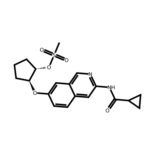 CS(=O)(=O)O[C@H]1CCC[C@@H]1Oc1ccc2cc(NC(=O)C3CC3)ncc2c1